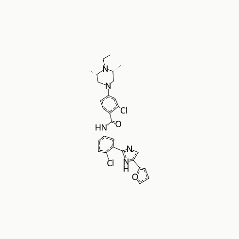 CCN1[C@H](C)CN(c2ccc(C(=O)Nc3ccc(Cl)c(-c4ncc(-c5ccco5)[nH]4)c3)c(Cl)c2)C[C@@H]1C